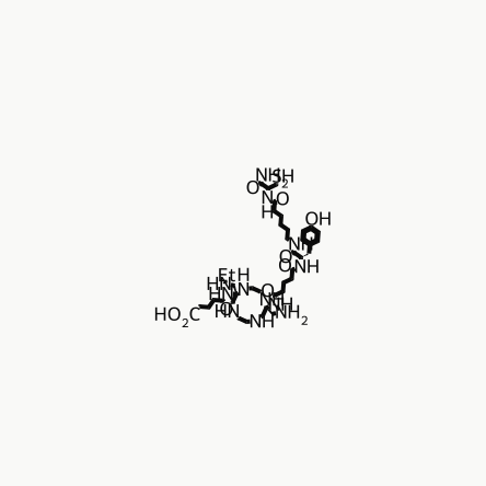 CCNC[C@]1(NC(=O)CCCC(=O)O)CNCCNC[C@@](CN)(NC(=O)CCCC(=O)N[C@@H](Cc2ccc(O)cc2)C(=O)NCCCCCC(=O)NC(CS)C(N)=O)NCCN1